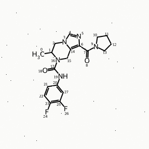 CC1Cn2cnc(C(=O)N3CCCC3)c2CN1C(=O)Nc1ccc(F)c(F)c1